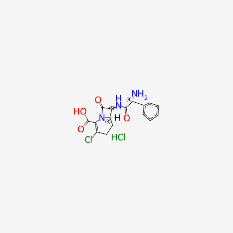 Cl.N[C@@H](C(=O)N[C@@H]1C(=O)N2C(C(=O)O)=C(Cl)CC[C@H]12)c1ccccc1